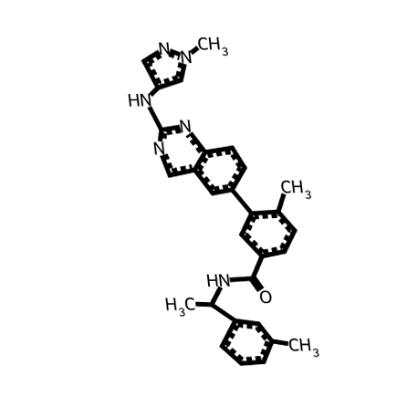 Cc1cccc(C(C)NC(=O)c2ccc(C)c(-c3ccc4nc(Nc5cnn(C)c5)ncc4c3)c2)c1